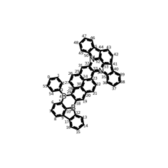 c1ccc(B2c3cccc4c3B(c3ccccc3-4)c3cc4ccc5c6c(ccc(c32)c46)cc2c5n3c4ccccc4c4ccc5c6ccccc6n2c5c43)cc1